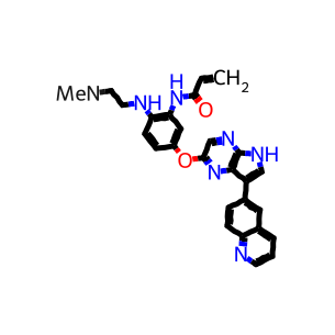 C=CC(=O)Nc1cc(Oc2cnc3[nH]cc(-c4ccc5ncccc5c4)c3n2)ccc1NCCNC